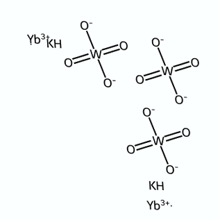 [KH].[KH].[O]=[W](=[O])([O-])[O-].[O]=[W](=[O])([O-])[O-].[O]=[W](=[O])([O-])[O-].[Yb+3].[Yb+3]